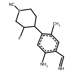 Cc1cc(C=N)c(N)cc1C1CCB(C#N)CC1F